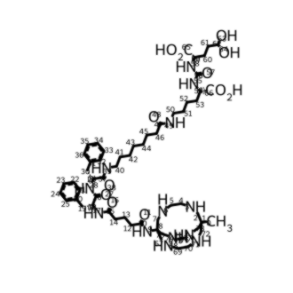 CC12CNCCNCC(NC(=O)CCCC(=O)N[C@H](Cc3ccccc3)C(=O)N[C@H](Cc3ccccc3)C(=O)NCCCCCCCC(=O)NCCCC[C@H](NC(=O)N[C@@H](CCC(O)O)C(=O)O)C(=O)O)(CNCCNC1)CNCCNC2